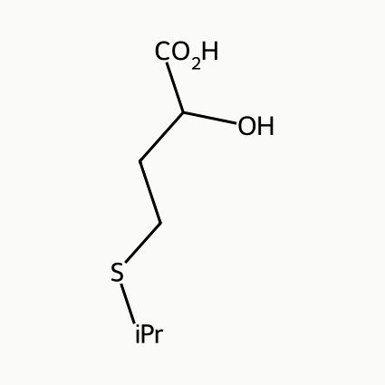 CC(C)SCCC(O)C(=O)O